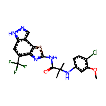 COc1cc(NC(C)(C)C(=O)Nc2nc3c(C(F)(F)F)cc4[nH]ncc4c3s2)ccc1Cl